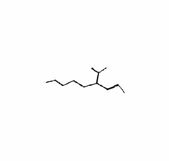 CCCCC[C](CCC)C(C)C